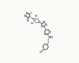 Cc1nn[nH]c1C1[C@H]2CN(c3nnc(-c4cnc(NCCc5ccc(Cl)cc5)nc4)o3)C[C@@H]12